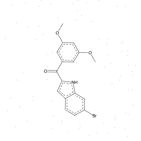 COc1cc(OC)cc(C(=O)c2cc3ccc(Br)cc3[nH]2)c1